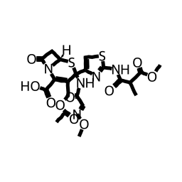 CON=CC(=O)NC1(c2csc(NC(=O)C(C)C(=O)OC)n2)S[C@@H]2CC(=O)N2C(C(=O)O)=C1COC(C)=O